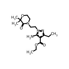 CCOC(=O)c1c(CC)nn(CCN2CCOC(C)(C)C2=O)c1N